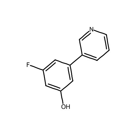 Oc1cc(F)cc(-c2cccnc2)c1